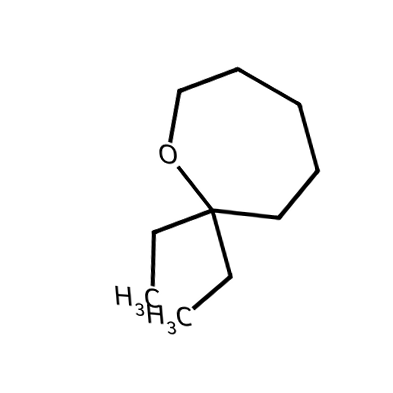 CCC1(CC)CCCCCO1